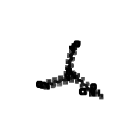 NC(=O)C(Cl)CCCCCN1CN(CCCCCCN=C=O)CN(CCCCCCN=C=O)C1